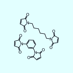 O=C1C=CC(=O)N1CCCCCCN1C(=O)C=CC1=O.O=C1C=CC(=O)N1c1cccc(N2C(=O)C=CC2=O)c1